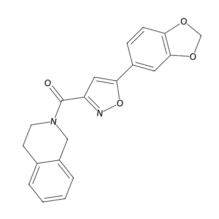 O=C(c1cc(-c2ccc3c(c2)OCO3)on1)N1CCc2ccccc2C1